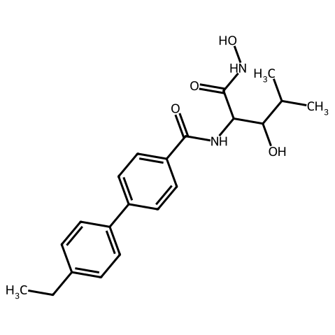 CCc1ccc(-c2ccc(C(=O)NC(C(=O)NO)C(O)C(C)C)cc2)cc1